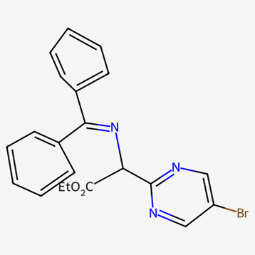 CCOC(=O)C(N=C(c1ccccc1)c1ccccc1)c1ncc(Br)cn1